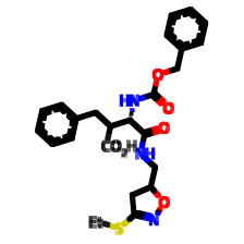 CCSC1=NOC(CNC(=O)[C@@H](NC(=O)OCc2ccccc2)C(Cc2ccccc2)C(=O)O)C1